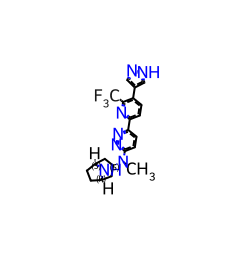 CN(c1ccc(-c2ccc(-c3cn[nH]c3)c(C(F)(F)F)n2)nn1)[C@@H]1C[C@H]2CC[C@@H](C1)N2